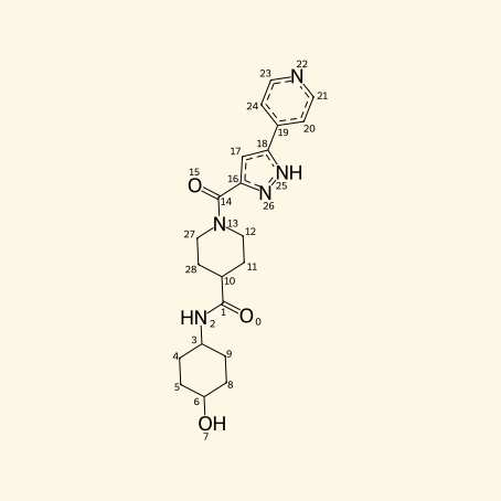 O=C(NC1CCC(O)CC1)C1CCN(C(=O)c2cc(-c3ccncc3)[nH]n2)CC1